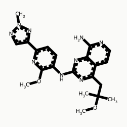 COc1nc(-c2cnn(C)n2)ccc1Nc1nc(CC(C)(C)OC)c2ccnc(N)c2n1